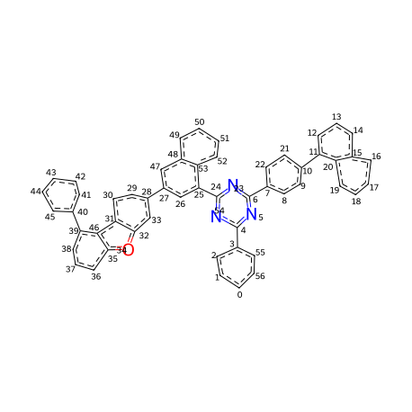 c1ccc(-c2nc(-c3ccc(-c4cccc5ccccc45)cc3)nc(-c3cc(-c4ccc5c(c4)oc4cccc(-c6ccccc6)c45)cc4ccccc34)n2)cc1